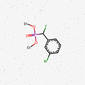 CCOP(=O)(OCC)C(F)c1cccc(Br)c1